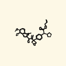 C=CCOC(=O)C(c1ccc(C2(NC(=O)c3cc4c(Cl)c(OC)ccc4n3C)COC2)cc1)C1CCCC1